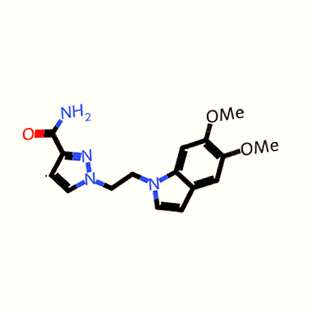 COc1cc2ccn(CCn3c[c]c(C(N)=O)n3)c2cc1OC